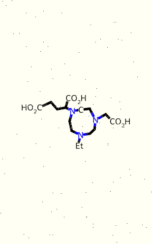 CCN1CCN(CC(=O)O)CCN(C(CCC(=O)O)C(=O)O)CC1